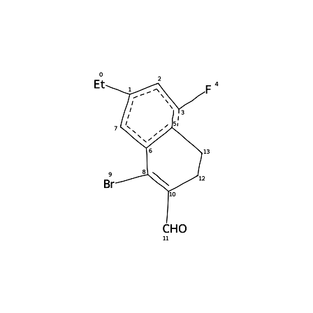 CCc1cc(F)c2c(c1)C(Br)=C(C=O)CC2